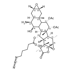 CC(=O)O[C@H]1C2C([C@@H](O)[C@@H](N)[C@H]3C[C@@H]4O[C@@H]4C[C@]23C)[C@@H]2[C@@H](OC(=O)CCCCN=[N+]=[N-])[C@@H]3[C@H]([C@H](C)[C@H]4O[C@]45OC(=O)[C@@](C)(O)[C@]35C)[C@@]2(C)[C@H]1OC(C)=O